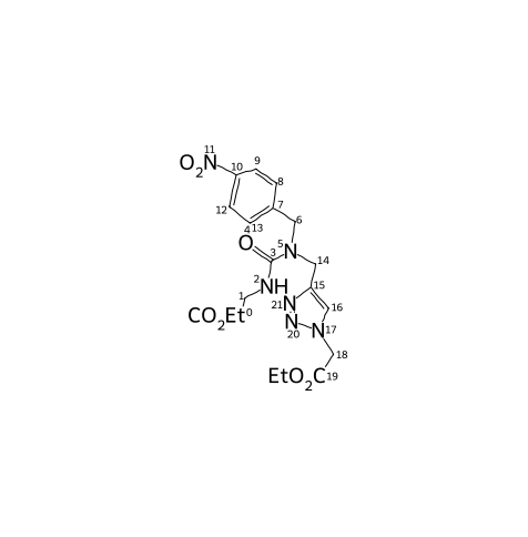 CCOC(=O)CNC(=O)N(Cc1ccc([N+](=O)[O-])cc1)Cc1cn(CC(=O)OCC)nn1